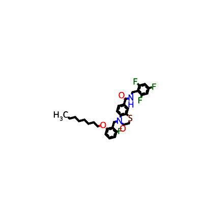 CCCCCCCCOc1cccc(F)c1CN1C(=O)CSc2cc(C(=O)NCc3c(F)cc(F)cc3F)ccc21